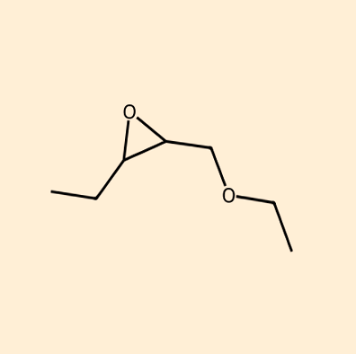 CCOCC1OC1CC